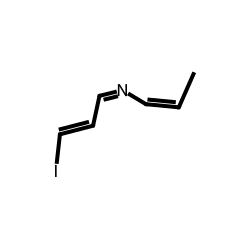 C\C=C/N=C\C=C\I